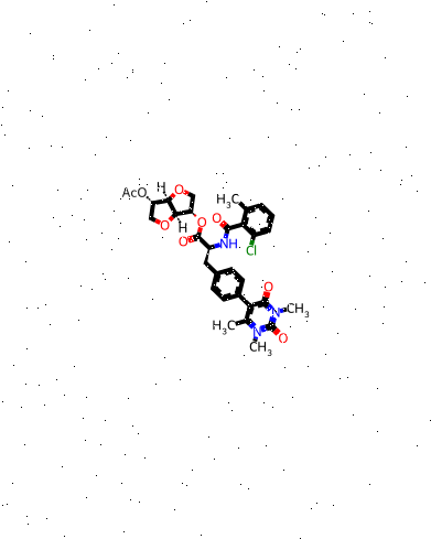 CC(=O)O[C@H]1CO[C@H]2[C@@H]1OC[C@@H]2OC(=O)[C@H](Cc1ccc(-c2c(C)n(C)c(=O)n(C)c2=O)cc1)NC(=O)c1c(C)cccc1Cl